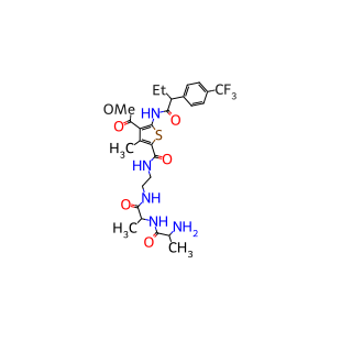 CCC(C(=O)Nc1sc(C(=O)NCCNC(=O)C(C)NC(=O)C(C)N)c(C)c1C(=O)OC)c1ccc(C(F)(F)F)cc1